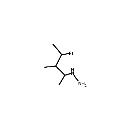 CCC(C)C(C)C(C)NN